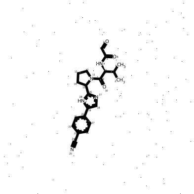 CC(C)[C@H](NC(=O)C=O)C(=O)N1CCCC1c1ncc(-c2ccc(C#N)cc2)[nH]1